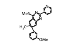 CNc1nc(-c2cccnc2)nc2cc(-c3cccc(OC)c3)c(C)cc12